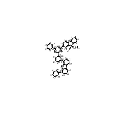 CC1(C)c2ccccc2-c2ccc(-c3nc(-c4ccccc4)nc(-c4cccc(-c5cccc6c5sc5c(-c7ccccc7)cccc56)c4)n3)cc21